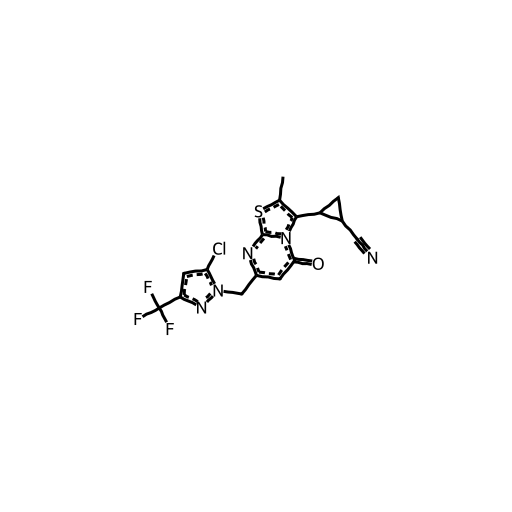 Cc1sc2nc(Cn3nc(C(F)(F)F)cc3Cl)cc(=O)n2c1C1CC1C#N